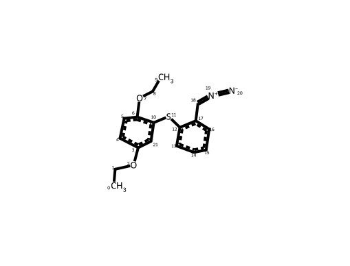 CCOc1ccc(OCC)c(Sc2ccccc2C=[N+]=[N-])c1